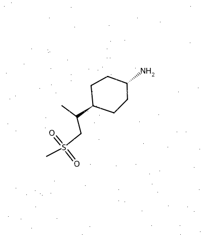 CC(CS(C)(=O)=O)[C@H]1CC[C@H](N)CC1